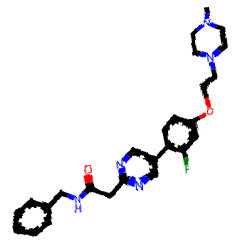 CN1CCN(CCOc2ccc(-c3cnc(CC(=O)NCc4ccccc4)nc3)c(F)c2)CC1